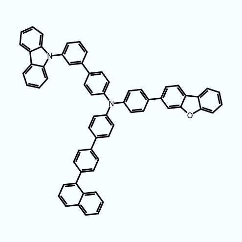 c1cc(-c2ccc(N(c3ccc(-c4ccc(-c5cccc6ccccc56)cc4)cc3)c3ccc(-c4ccc5c(c4)oc4ccccc45)cc3)cc2)cc(-n2c3ccccc3c3ccccc32)c1